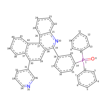 O=P(c1ccccc1)(c1ccccc1)c1cccc(-c2nc3ccccc3c3c2cc(-c2cccnc2)c2ccccc23)c1